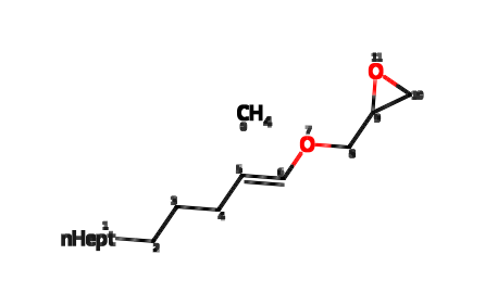 C.CCCCCCCCCCC=COCC1CO1